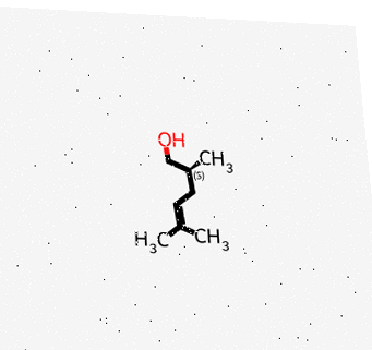 CC(C)=CC[C@H](C)CO